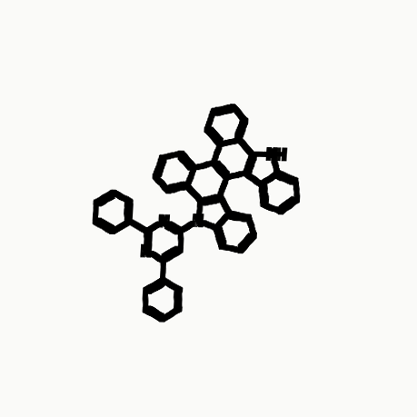 c1ccc(-c2cc(-n3c4ccccc4c4c5c(c6ccccc6c6[nH]c7ccccc7c65)c5ccccc5c43)nc(-c3ccccc3)n2)cc1